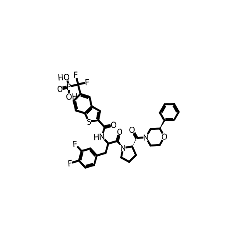 O=C(NC(Cc1ccc(F)c(F)c1)C(=O)N1CCC[C@H]1C(=O)N1CCO[C@H](c2ccccc2)C1)c1cc2cc(C(F)(F)P(=O)(O)O)ccc2s1